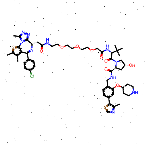 Cc1ncsc1-c1ccc(CNC(=O)[C@@H]2C[C@@H](O)CN2C(=O)[C@@H](NC(=O)COCCOCCOCCNC(=O)C[C@@H]2N=C(c3ccc(Cl)cc3)c3c(sc(C)c3C)-n3c(C)nnc32)C(C)(C)C)c(OC2CCNCC2)c1